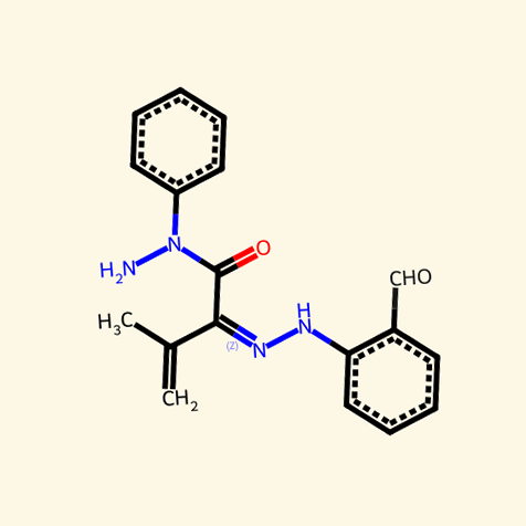 C=C(C)/C(=N/Nc1ccccc1C=O)C(=O)N(N)c1ccccc1